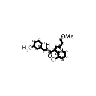 COCCc1cc(C(=O)NCC2CCCC(C)C2)c2c(Cl)cccn12